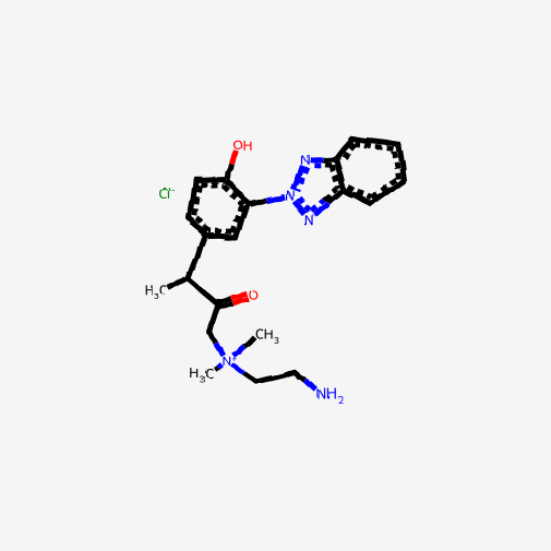 CC(C(=O)C[N+](C)(C)CCN)c1ccc(O)c(-n2nc3ccccc3n2)c1.[Cl-]